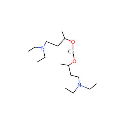 CCN(CC)CCC(C)[O][Co][O]C(C)CCN(CC)CC